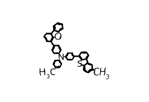 Cc1ccc(N(c2ccc(-c3cccc4c3oc3ccccc34)cc2)c2ccc(-c3cccc4c3sc3ccc(C)cc34)cc2)cc1